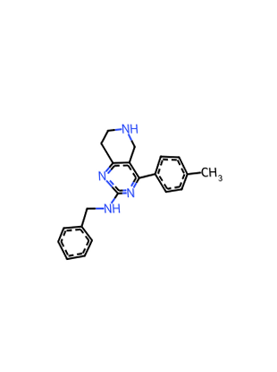 Cc1ccc(-c2nc(NCc3ccccc3)nc3c2CNCC3)cc1